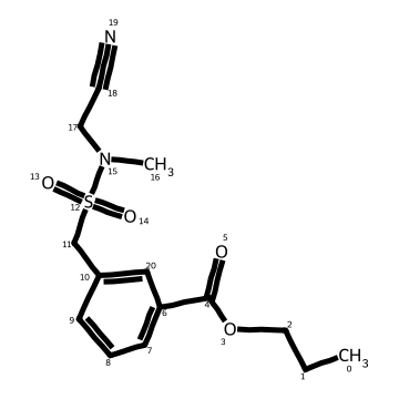 CCCOC(=O)c1cccc(CS(=O)(=O)N(C)CC#N)c1